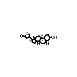 CC12CC[C@H]3[C@@H](CC[C@@H]4CC(O)CC[C@@]43C)C1(O)CCC2C1=CC(=O)OC1